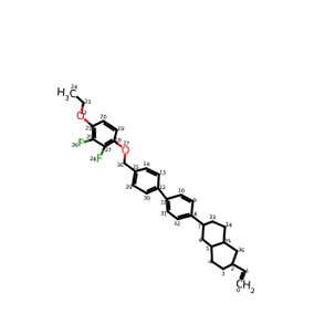 C=CC1CCC2CC(c3ccc(-c4ccc(COc5ccc(OCC)c(F)c5F)cc4)cc3)CCC2C1